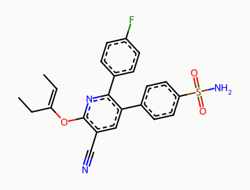 CC=C(CC)Oc1nc(-c2ccc(F)cc2)c(-c2ccc(S(N)(=O)=O)cc2)cc1C#N